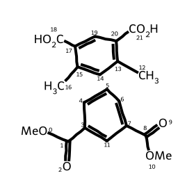 COC(=O)c1cccc(C(=O)OC)c1.Cc1cc(C)c(C(=O)O)cc1C(=O)O